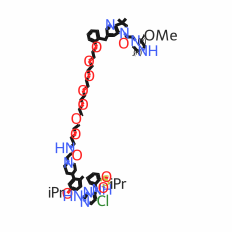 COC[C@H]1CN[C@H](C)CN1CC(=O)N1CC(C)(C)c2ncc(Cc3ccccc3OCCOCCOCCOCCOCCOCCOCCNC(=O)CN3CCC(c4cc(OC(C)C)c(Nc5ncc(Cl)c(Nc6ccccc6S(=O)(=O)C(C)C)n5)cc4C)CC3)cc21